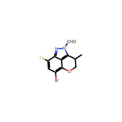 CC1COc2c(Br)cc(F)c3nn(C=O)c1c23